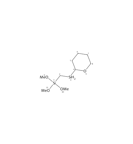 CO[Si](C[SiH2]C1CCCCO1)(OC)OC